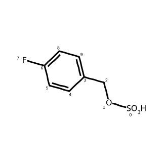 O=S(=O)(O)OCc1ccc(F)cc1